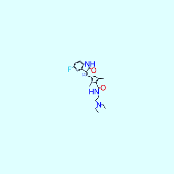 CCN(CC)CCNC(=O)C1=C(C)CC(/C=C2\C(=O)Nc3ccc(F)cc32)=C1C